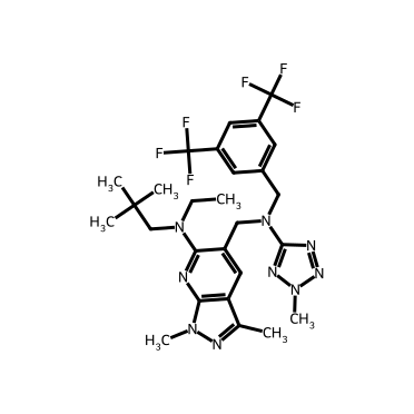 CCN(CC(C)(C)C)c1nc2c(cc1CN(Cc1cc(C(F)(F)F)cc(C(F)(F)F)c1)c1nnn(C)n1)c(C)nn2C